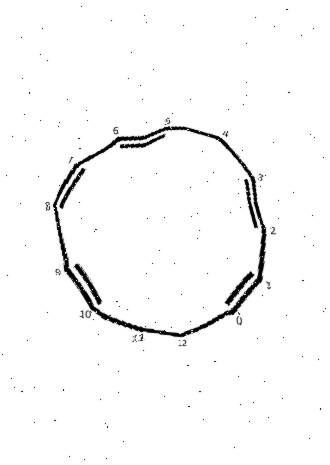 [C]1=CC=CCC=CC=CC=CCC1